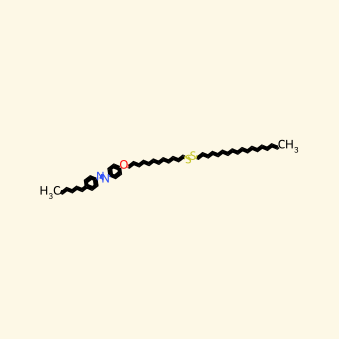 CCCCCCCCCCCCCCCCCCSSCCCCCCCCCCCCOc1ccc(N=Nc2ccc(CCCCCC)cc2)cc1